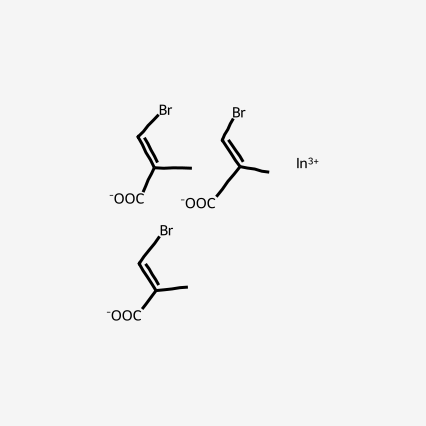 CC(=CBr)C(=O)[O-].CC(=CBr)C(=O)[O-].CC(=CBr)C(=O)[O-].[In+3]